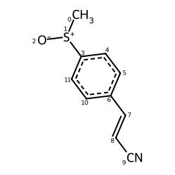 C[S+]([O-])c1ccc(/C=C/C#N)cc1